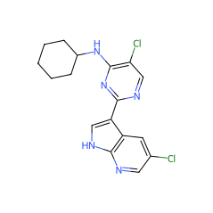 Clc1cnc2[nH]cc(-c3ncc(Cl)c(NC4CCCCC4)n3)c2c1